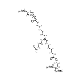 CCCCCCC(/C=C\COC(=O)CCCCCCCN(CCCCCCCC(=O)OC/C=C\C(CCCCCC)CCCCCC)CCCCN(C)C)CCCCCC